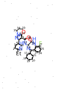 CCc1ccc(-c2nn3c(c2C(=O)N[C@H]2N=C(c4ccccc4)c4cccc(F)c4NC2=O)OCCC3)cn1